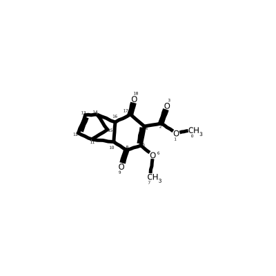 COC(=O)C1=C(OC)C(=O)C2C3C=CC(C3)C2C1=O